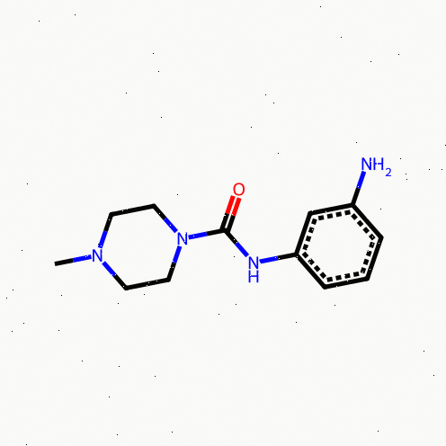 CN1CCN(C(=O)Nc2cccc(N)c2)CC1